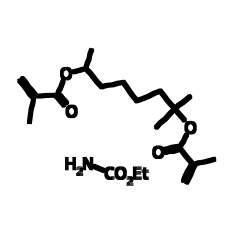 C=C(C)C(=O)OC(C)CCCCC(C)(C)OC(=O)C(=C)C.CCOC(N)=O